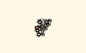 Nc1nc2c(ncn2[C@@H]2O[C@H](COC(=O)c3ccccc3)C(N(Cc3ccccc3)Cc3ccccc3)C2OC(=O)c2ccccc2)c(=O)[nH]1